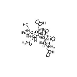 C#CCNC(=O)[C@H](CC(C)C)NC(=O)[C@H](CCC(N)=O)NC(=O)C(NC(=O)[C@H](Cc1c[nH]c2ccccc12)NC(=O)[C@@H]1CCCN1C(=O)[C@H](Cc1ccccc1)NC(=O)[C@@H](NC(=O)[C@@H](N)Cc1c[nH]c2ccccc12)C(C)CC)[C@@H](C)CC